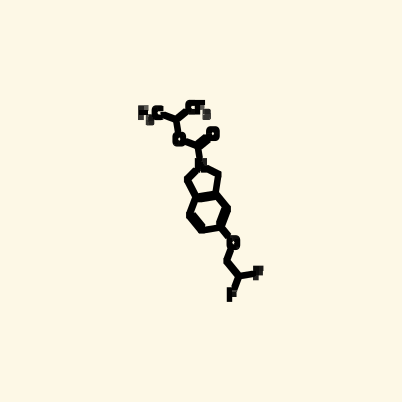 O=C(OC(C(F)(F)F)C(F)(F)F)N1Cc2ccc(OCC(F)F)cc2C1